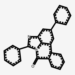 O=c1c2ccccc2c2cc(-c3ccccc3)cc3nc(-c4ccccc4)n1c32